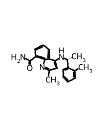 Cc1cc(N[C@H](C)c2ccccc2C)c2cccc(C(N)=O)c2n1